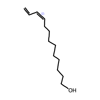 C=C/C=C\CCCCCCCCCO